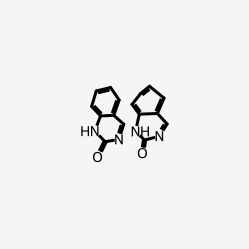 O=c1ncc2ccccc2[nH]1.O=c1ncc2ccccc2[nH]1